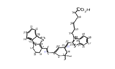 CC1(C)CC(/C=C/C2=C3Sc4ccccc4N3CCC2)=CC(=C/c2sc3ccccc3[n+]2CCCCCC(=O)O)/C1